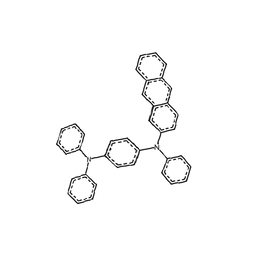 c1ccc(N(c2ccccc2)c2ccc(N(c3ccccc3)c3ccc4cc5ccccc5cc4c3)cc2)cc1